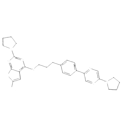 Cc1cc2c(NCCCc3ccc(-c4cnc(N5CCCC5)cn4)cc3)nc(N3CCCC3)nc2s1